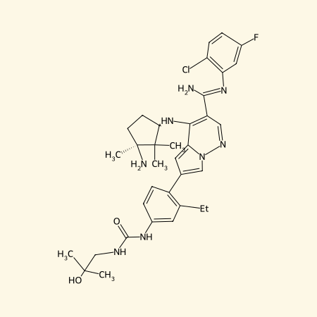 CCc1cc(NC(=O)NCC(C)(C)O)ccc1-c1cc2c(N[C@@H]3CC[C@](C)(N)C3(C)C)c(/C(N)=N/c3cc(F)ccc3Cl)cnn2c1